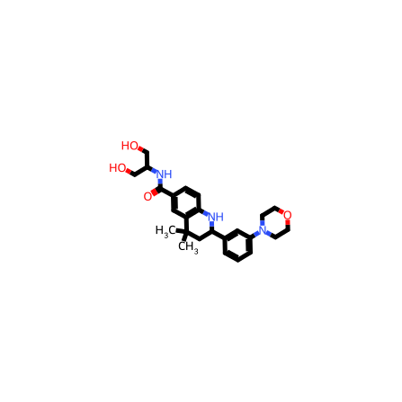 CC1(C)CC(c2cccc(N3CCOCC3)c2)Nc2ccc(C(=O)NC(CO)CO)cc21